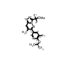 COC(F)(F)c1nnc2cc(C)c(-c3cnc(O[C@H](C)C(F)(F)F)c(F)c3)nn12